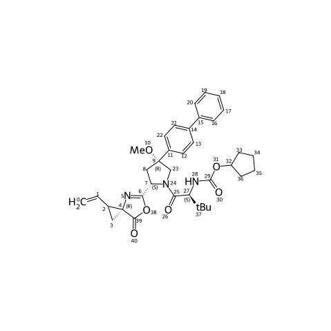 C=CC1C[C@@]12N=C([C@@H]1C[C@@](OC)(c3ccc(-c4ccccc4)cc3)CN1C(=O)[C@@H](NC(=O)OC1CCCC1)C(C)(C)C)OC2=O